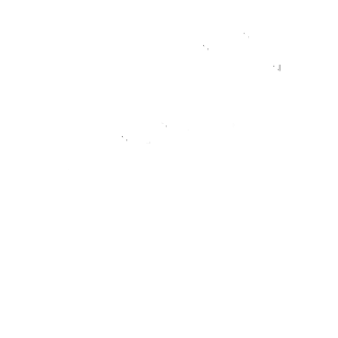 Cc1c[nH]c2ncnc(C3=CCN(C(=O)Nc4cccc(Oc5cccc(Cl)c5)c4)CC3)c12